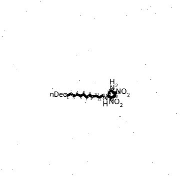 CCCCCCCCCCCCCCCCCCCCCCNc1cc(N)c([N+](=O)[O-])cc1[N+](=O)[O-]